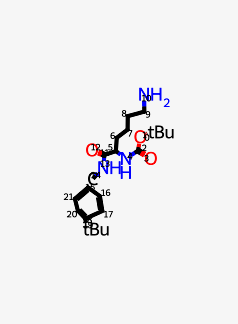 CC(C)(C)OC(=O)NC(CCCCN)C(=O)NCc1ccc(C(C)(C)C)cc1